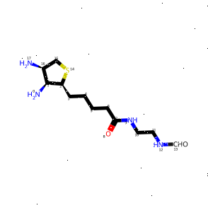 N[C@@H]1[C@H](CCCCC(=O)NCCNC=O)SC[C@@H]1N